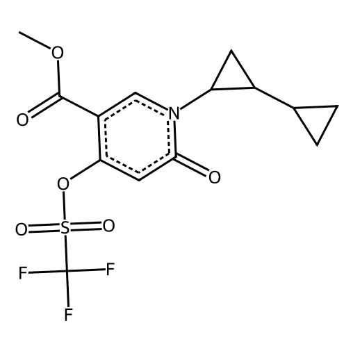 COC(=O)c1cn(C2CC2C2CC2)c(=O)cc1OS(=O)(=O)C(F)(F)F